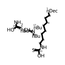 C.CCCCCCCCCCCCCCCCCCNC(O)=S.CCCCN(CCCC)CCCC.NC(O)=S